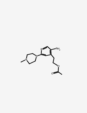 CC(=O)OCCc1cc(N2CCN(C)CC2)ncc1N